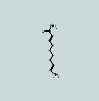 CC=CCCCCC=CC(N)=O